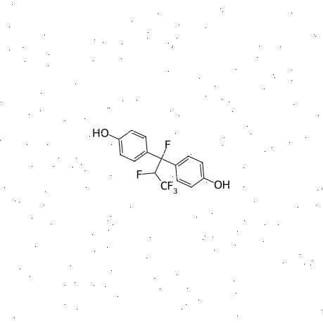 Oc1ccc(C(F)(c2ccc(O)cc2)C(F)C(F)(F)F)cc1